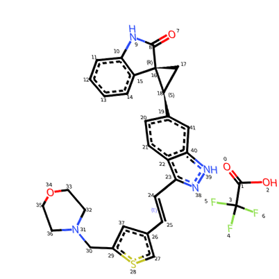 O=C(O)C(F)(F)F.O=C1Nc2ccccc2[C@]12C[C@H]2c1ccc2c(/C=C/c3csc(CN4CCOCC4)c3)n[nH]c2c1